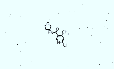 Cc1cc(Cl)ncc1C(=O)N[C@@H]1CCOC1